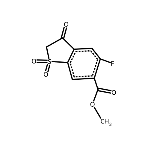 COC(=O)c1cc2c(cc1F)C(=O)CS2(=O)=O